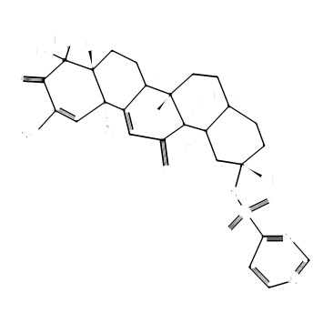 CC1(C)C(=O)C(C#N)=C[C@]2(C)C3=CC(=O)[C@]4(O)[C@@H]5C[C@@](C)(NS(=O)(=O)c6ccncn6)CC[C@]5(C)CC[C@@]4(C)[C@]3(C)CC[C@@H]12